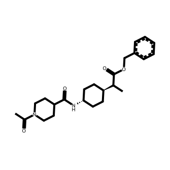 CC(=O)N1CCC(C(=O)N[C@H]2CC[C@H](C(C)C(=O)OCc3ccccc3)CC2)CC1